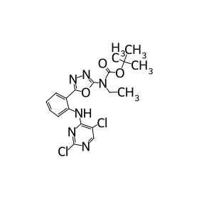 CCN(C(=O)OC(C)(C)C)c1nnc(-c2ccccc2Nc2nc(Cl)ncc2Cl)o1